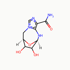 NC(=O)c1ncn2c1N[C@@H]1O[C@H](C2)C(O)C1O